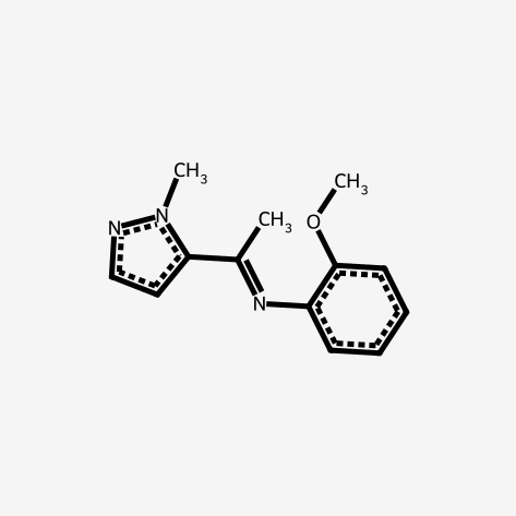 COc1ccccc1N=C(C)c1ccnn1C